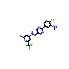 CNc1cc(-c2ncc(CNc3cc(I)nc(C(F)(F)F)c3)cn2)ccc1Cl